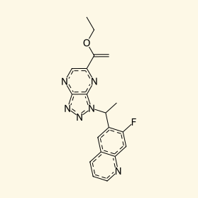 C=C(OCC)c1cnc2nnn(C(C)c3cc4cccnc4cc3F)c2n1